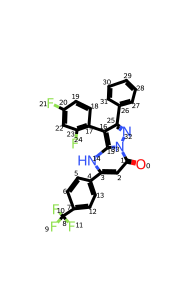 O=c1cc(-c2ccc(C(F)(F)F)cc2)[nH]c2c(-c3ccc(F)cc3F)c(-c3ccccc3)nn12